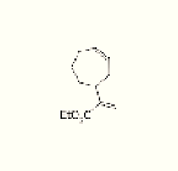 C=C(C(=O)OCC)C1CC=CCCC1